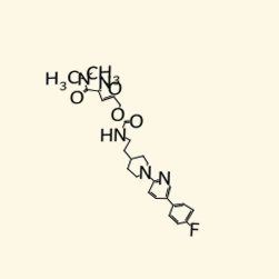 CN(C)C(=O)c1cc(COC(=O)NCCC2CCN(c3ccc(-c4ccc(F)cc4)cn3)CC2)on1